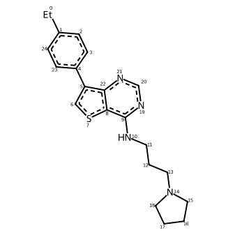 CCc1ccc(-c2csc3c(NCCCN4CCCC4)ncnc23)cc1